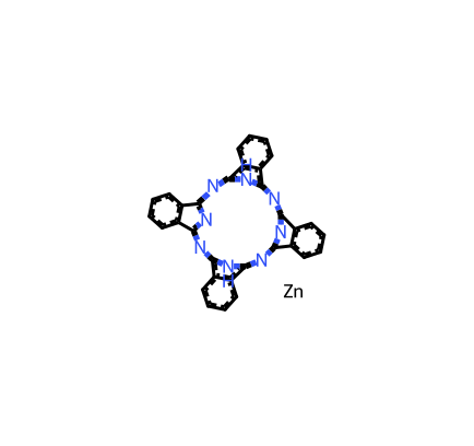 [Zn].c1ccc2c(c1)-c1nc-2nc2[nH]c(nc3nc(nc4[nH]c(n1)c1ccccc41)-c1ccccc1-3)c1ccccc21